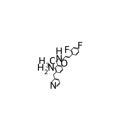 C[C@H](NC(=O)C=Cc1ccc(F)cc1F)c1cccc(Cc2cccnc2)c1N